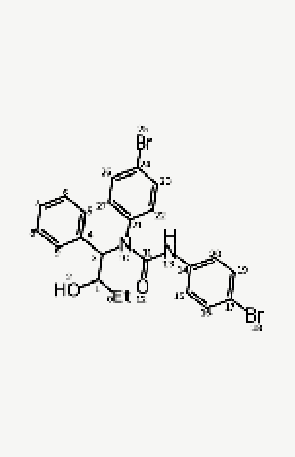 CCC(O)C(c1ccccc1)N(C(=O)Nc1ccc(Br)cc1)c1ccc(Br)cc1